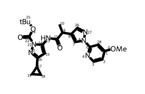 COc1ccnc(-n2cc(C(C)C(=O)Nc3cc(C4CC4)nn3C(=O)OC(C)(C)C)cn2)c1